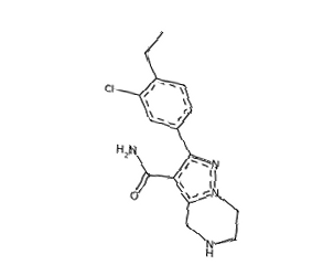 CCc1ccc(-c2nn3c(c2C(N)=O)CNCC3)cc1Cl